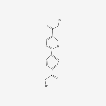 O=C(CBr)c1ccc(-c2ncc(C(=O)CBr)cn2)cc1